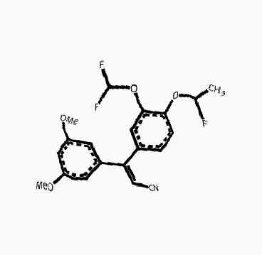 COc1cc(OC)cc(C(=CC#N)c2ccc(OC(C)F)c(OC(F)F)c2)c1